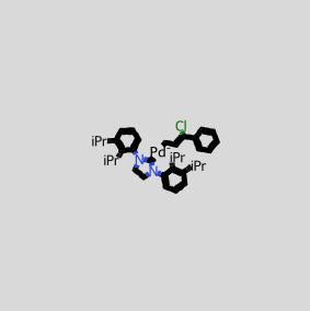 CC(C)c1cccc(N2CCN(c3cccc(C(C)C)c3C(C)C)[C]2=[Pd-][CH2]C=C(Cl)c2ccccc2)c1C(C)C